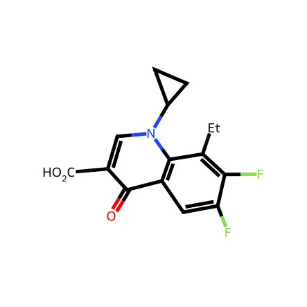 CCc1c(F)c(F)cc2c(=O)c(C(=O)O)cn(C3CC3)c12